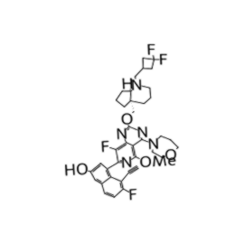 C#Cc1c(F)ccc2cc(O)cc(-c3nc(OC)c4c(N5CCCOCC5)nc(OC[C@]56CCC[C@H]5N(CC5CC(F)(F)C5)CCC6)nc4c3F)c12